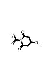 [CH2]C1CC(=O)N(C(N)=O)C(=O)C1